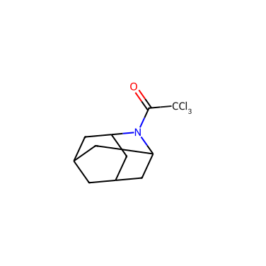 O=C(N1C2CC3CC(C2)CC1C3)C(Cl)(Cl)Cl